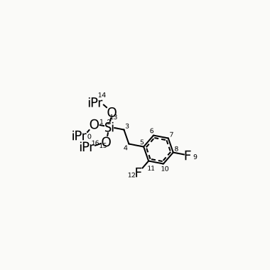 CC(C)O[Si](CCc1ccc(F)cc1F)(OC(C)C)OC(C)C